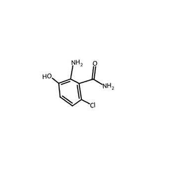 NC(=O)c1c(Cl)ccc(O)c1N